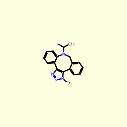 CCn1nnc2c1-c1ccccc1CN(C(C)I)c1ccccc1-2